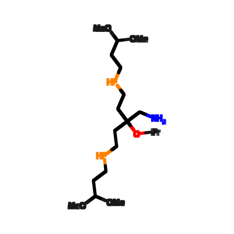 COC(CCPCCC(CN)(CCPCCC(OC)OC)OC(C)C)OC